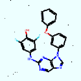 Oc1c(F)cc(Nc2ncc3ncn(-c4cccc(Oc5ccccc5)c4)c3n2)cc1F